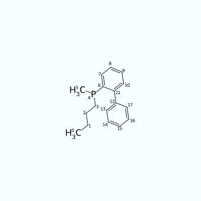 CCCCP(C)c1ccccc1-c1ccccc1